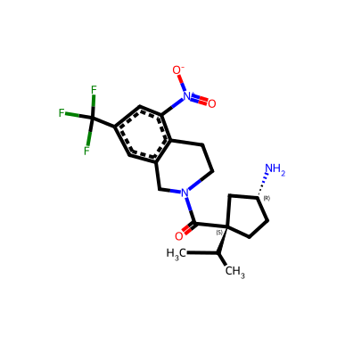 CC(C)[C@]1(C(=O)N2CCc3c(cc(C(F)(F)F)cc3[N+](=O)[O-])C2)CC[C@@H](N)C1